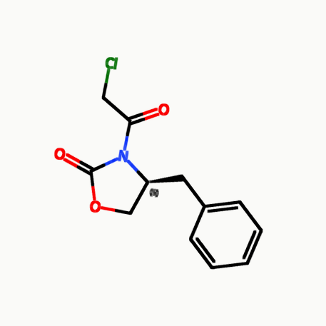 O=C(CCl)N1C(=O)OC[C@@H]1Cc1ccccc1